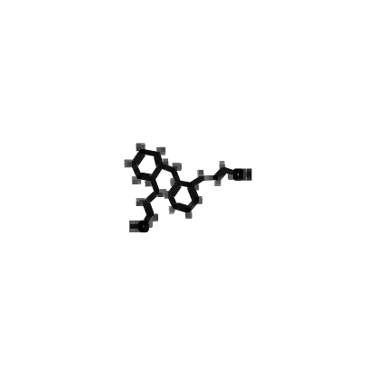 OC=CCc1ccccc1Cc1ccccc1CC=CO